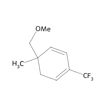 COCC1(C)C=CC(C(F)(F)F)=CC1